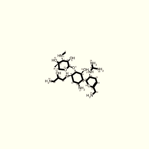 CN[C@@H]1[C@@H](O)[C@@H](O[C@H]2[C@H](NCC(O)CN)C[C@H](N)C([C@H]3OC(CN)=CC[C@H]3NC(N)N)[C@@H]2O)OC[C@]1(C)O